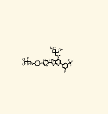 COCC1(CN(C)c2cc(-c3cc(F)cc(C(F)(F)F)c3)nc3nc(-c4cnc(N5CCC(NCC(F)(F)C(=O)[O-])CC5)cn4)[nH]c23)CCC1.[Na+]